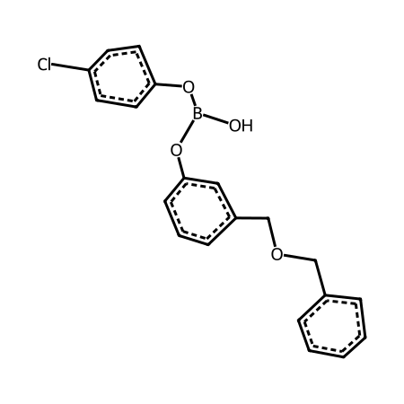 OB(Oc1ccc(Cl)cc1)Oc1cccc(COCc2ccccc2)c1